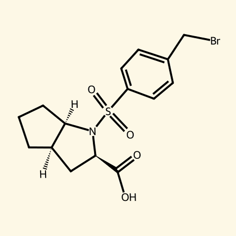 O=C(O)[C@H]1C[C@H]2CCC[C@H]2N1S(=O)(=O)c1ccc(CBr)cc1